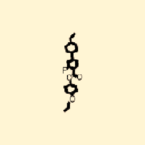 CCCOc1ccc(OC(=O)c2ccc(C3CCC(CC)CC3)cc2F)cc1